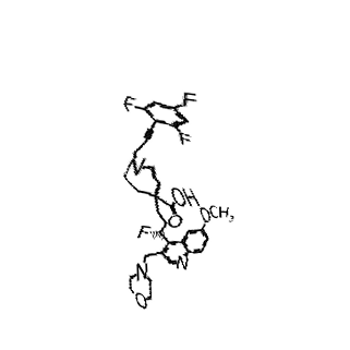 COc1ccc2ncc(CN3CCOCC3)c([C@H](F)CCC3(C(=O)O)CCN(CC#Cc4c(F)cc(F)cc4F)CC3)c2c1